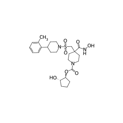 Cc1ccccc1C1CCN(S(=O)(=O)CC2(C(=O)NO)CCN(C(=O)O[C@H]3CCC[C@@H]3O)CC2)CC1